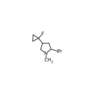 CC(C)C1CC(C2(F)CC2)CN1C